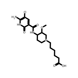 COC1CN(CCCCCC(=O)O)CCC1NC(=O)c1cc(Cl)c(N)[nH]c1=O